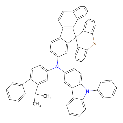 CC1(C)c2ccccc2-c2ccc(N(c3ccc4c(c3)C3(c5ccccc5Sc5ccccc53)c3c-4ccc4ccccc34)c3ccc4c(c3)c3ccccc3n4-c3ccccc3)cc21